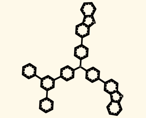 c1ccc(-c2cc(-c3ccccc3)cc(-c3ccc(N(c4ccc(-c5ccc6c(c5)sc5ccccc56)cc4)c4ccc(-c5ccc6sc7ccccc7c6c5)cc4)cc3)c2)cc1